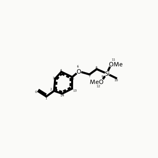 C=Cc1ccc(OCC[Si](C)(OC)OC)cc1